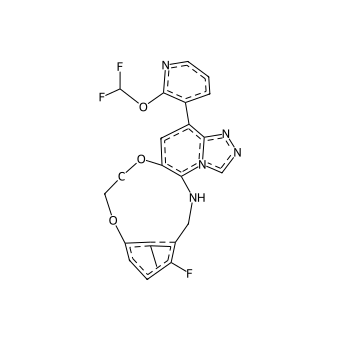 Cc1c2ccc(F)c1CNc1c(cc(-c3cccnc3OC(F)F)c3nncn13)OCCO2